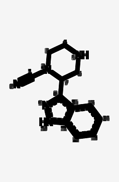 N#CN1CCNCC1c1n[nH]c2ccccc12